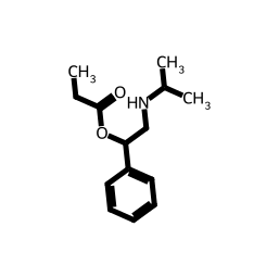 CCC(=O)OC(CNC(C)C)c1ccccc1